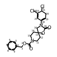 O=C(OCc1ccccc1)N1CCC2(CC1)CN(C1=CCC(Cl)C(Cl)=C1)C(=O)O2